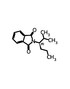 CCC[C@H](C(C)C)N1C(=O)c2ccccc2C1=O